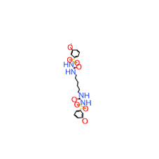 COc1cccc(S(=O)(=O)NC(=O)NCCCCCCNC(=O)NS(=O)(=O)c2cccc(OC)c2)c1